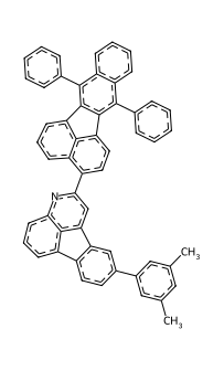 Cc1cc(C)cc(-c2ccc3c(c2)-c2cc(-c4ccc5c6c(cccc46)-c4c-5c(-c5ccccc5)c5ccccc5c4-c4ccccc4)nc4cccc-3c24)c1